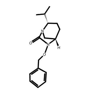 CC(C)[C@@H]1CC[C@H]2CN1C(=O)N2OCc1ccccc1